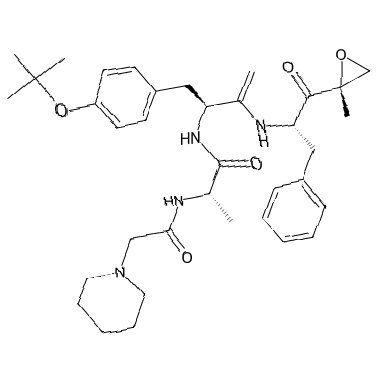 C=C(N[C@@H](Cc1ccccc1)C(=O)[C@@]1(C)CO1)[C@H](Cc1ccc(OC(C)(C)C)cc1)NC(=O)[C@H](C)NC(=O)CN1CCCCC1